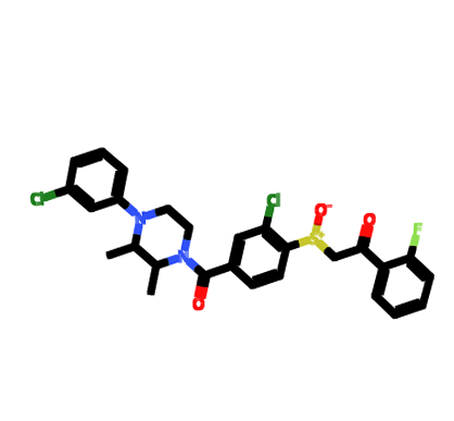 CC1C(C)N(c2cccc(Cl)c2)CCN1C(=O)c1ccc([S+]([O-])CC(=O)c2ccccc2F)c(Cl)c1